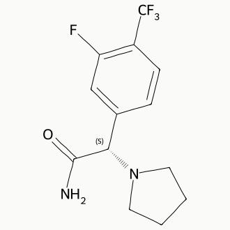 NC(=O)[C@H](c1ccc(C(F)(F)F)c(F)c1)N1CCCC1